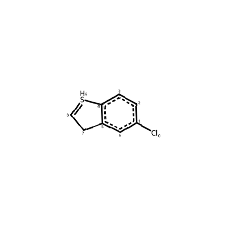 Clc1ccc2c(c1)CC=[SH]2